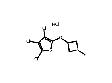 CN1CC(Oc2sc(Cl)c(Cl)c2Cl)C1.Cl